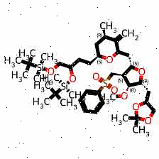 C=C1C(C[C@@H]2O[C@H](CC3COC(C)(C)O3)[C@H](OC)[C@H]2CS(=O)(=O)c2ccccc2)O[C@@H](CCC(CO[Si](C)(C)C(C)(C)C)O[Si](C)(C)C(C)(C)C)C[C@H]1C